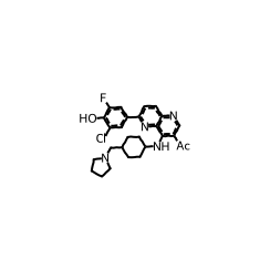 CC(=O)c1cnc2ccc(-c3cc(F)c(O)c(Cl)c3)nc2c1NC1CCC(CN2CCCC2)CC1